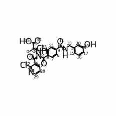 C[C@H](NN(C(=O)c1ccc(C(=O)NCc2cccc(O)c2)cc1Cl)C(=O)c1cccnc1Cl)C(=O)O